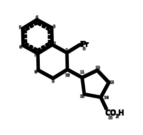 CC(C)C1c2ccccc2CCC1C1CCC(C(=O)O)C1